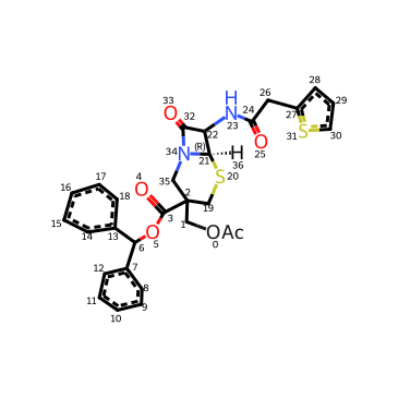 CC(=O)OCC1(C(=O)OC(c2ccccc2)c2ccccc2)CS[C@@H]2C(NC(=O)Cc3cccs3)C(=O)N2C1